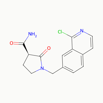 NC(=O)[C@@H]1CCN(Cc2ccc3ccnc(Cl)c3c2)C1=O